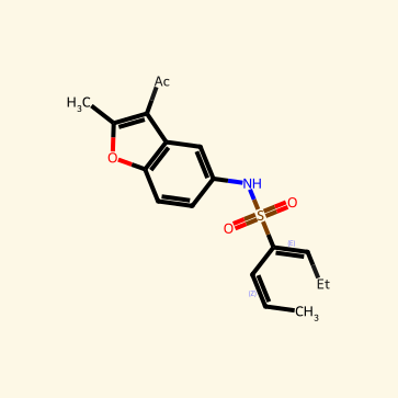 C/C=C\C(=C/CC)S(=O)(=O)Nc1ccc2oc(C)c(C(C)=O)c2c1